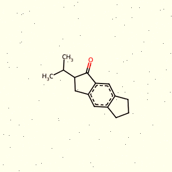 CC(C)C1Cc2cc3c(cc2C1=O)CCC3